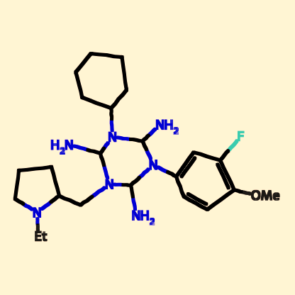 CCN1CCCC1CN1C(N)N(c2ccc(OC)c(F)c2)C(N)N(C2CCCCC2)C1N